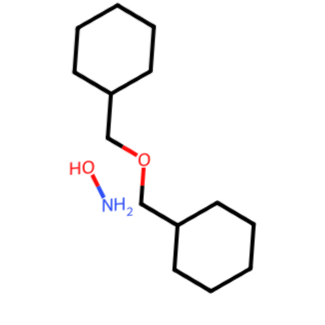 C1CCC(COCC2CCCCC2)CC1.NO